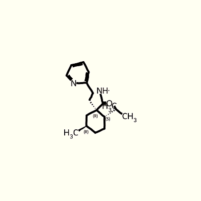 CC(C)[C@@H]1CC[C@@H](C)C[C@@]1(CCc1ccccn1)C([NH])=O